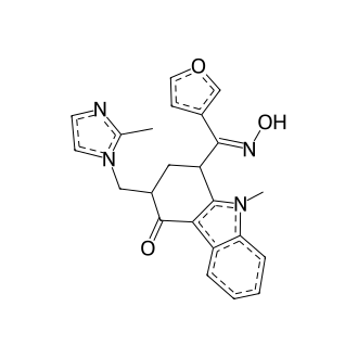 Cc1nccn1CC1CC(C(=NO)c2ccoc2)c2c(c3ccccc3n2C)C1=O